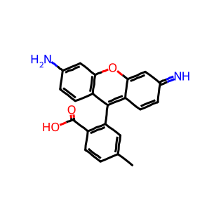 Cc1ccc(C(=O)O)c(-c2c3ccc(=N)cc-3oc3cc(N)ccc23)c1